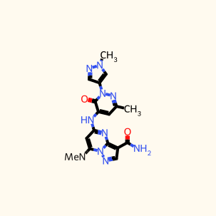 CNc1cc(Nc2cc(C)nn(-c3cnn(C)c3)c2=O)nc2c(C(N)=O)cnn12